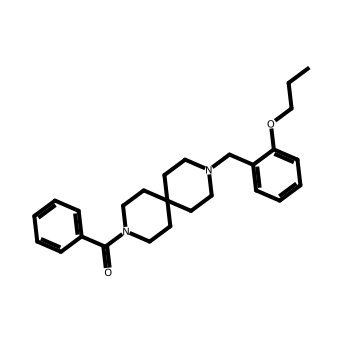 CCCOc1ccccc1CN1CCC2(CC1)CCN(C(=O)c1ccccc1)CC2